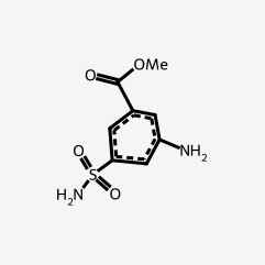 COC(=O)c1cc(N)cc(S(N)(=O)=O)c1